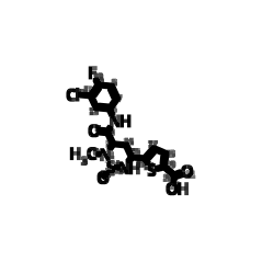 CN1C(C(=O)Nc2ccc(F)c(Cl)c2)CC(c2ccc(C(=O)O)s2)N[S+]1[O-]